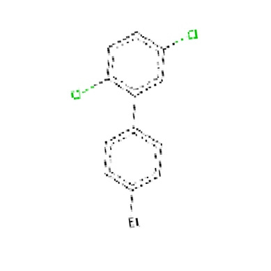 CCc1ccc(-c2cc(Cl)ccc2Cl)cc1